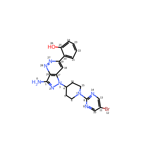 Nc1nn(C2CCN(c3ncc(Br)cn3)CC2)c2cc(-c3ccccc3O)nnc12